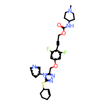 CN1CCC(NC(=O)OCC#Cc2c(F)cc(OCc3nnc(SC4C=CCCC4)n3-c3cccnc3)cc2F)CC1